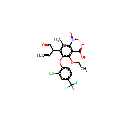 C=CC(C=O)c1c(C)c([N+](=O)[O-])c(C(=O)O)c(OCC)c1Oc1ccc(C(F)(F)F)cc1Cl